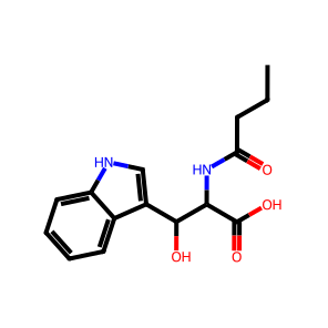 CCCC(=O)NC(C(=O)O)C(O)c1c[nH]c2ccccc12